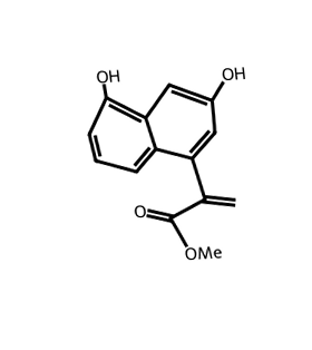 C=C(C(=O)OC)c1cc(O)cc2c(O)cccc12